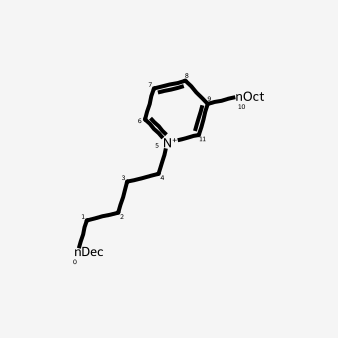 CCCCCCCCCCCCCC[n+]1cccc(CCCCCCCC)c1